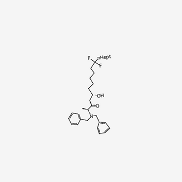 CCCCCCCC(F)(F)CCCCC[C@H](O)CC(=O)[C@H](C)N(Cc1ccccc1)Cc1ccccc1